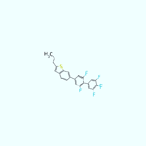 CCCc1cc2ccc(-c3cc(F)c(-c4cc(F)c(F)c(F)c4)c(F)c3)cc2s1